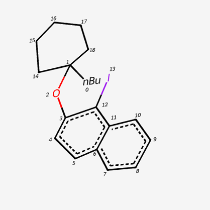 CCCCC1(Oc2ccc3ccccc3c2I)CCCCC1